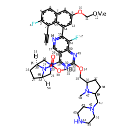 C#Cc1c(F)ccc2cc(OCOC)cc(-c3ncc4c(N5C[C@H]6CC[C@@H](C5)N6C(=O)OC(C)(C)C)nc(OCC5CCC(CN6CCNCC6)N5C)nc4c3F)c12